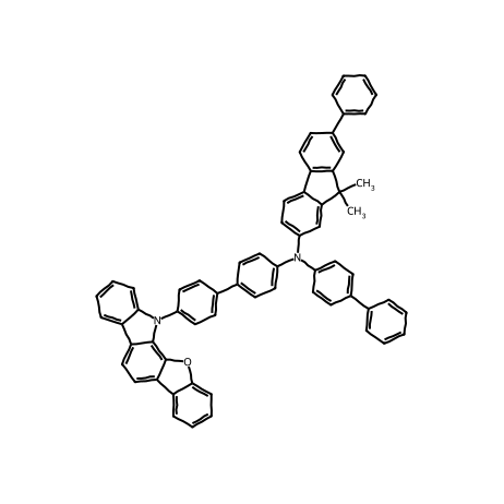 CC1(C)c2cc(-c3ccccc3)ccc2-c2ccc(N(c3ccc(-c4ccccc4)cc3)c3ccc(-c4ccc(-n5c6ccccc6c6ccc7c8ccccc8oc7c65)cc4)cc3)cc21